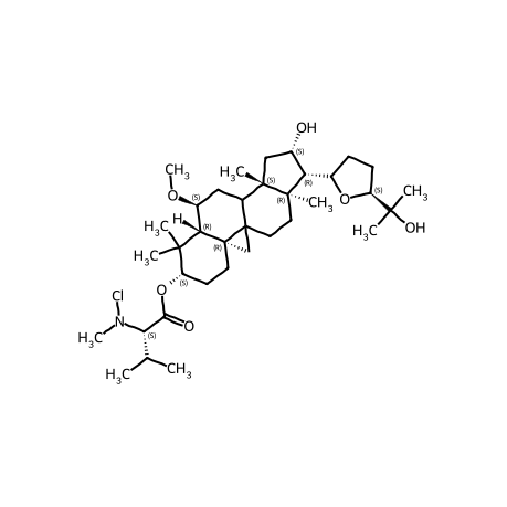 CO[C@H]1CC2C3(CC[C@]4(C)[C@@H](C5CC[C@@H](C(C)(C)O)O5)[C@@H](O)C[C@@]24C)C[C@@]32CC[C@H](OC(=O)[C@H](C(C)C)N(C)Cl)C(C)(C)[C@H]12